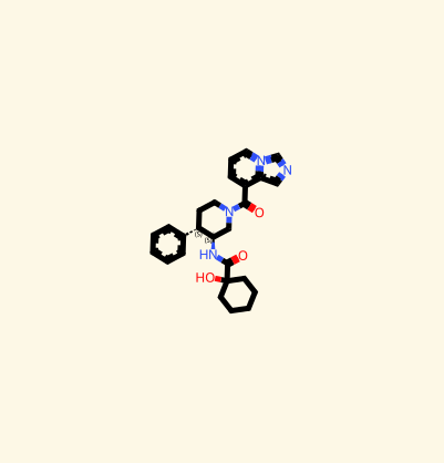 O=C(c1cccn2cncc12)N1CC[C@@H](c2ccccc2)[C@H](NC(=O)C2(O)CCCCC2)C1